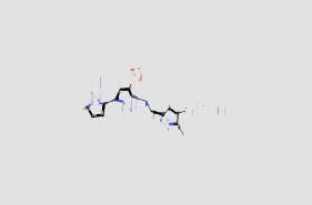 CCCCCC1=CC(=CCc2[nH]c(-c3ccc[nH]3)cc2OCC)N=C1C